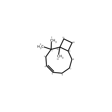 CC1(C)CC=CCCCC2CCC21C